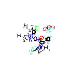 Cc1nc(C2CCN(C(=O)[C@@H]3C[C@H](N(C)CCC(F)(F)F)C[C@H]3c3ccc(F)cc3F)CC2)n(-c2ccc(Cl)c(C)c2)n1.O=C(O)C(F)(F)F